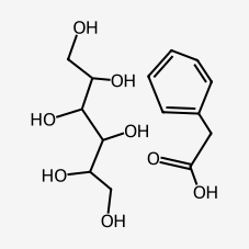 O=C(O)Cc1ccccc1.OCC(O)C(O)C(O)C(O)CO